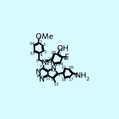 COc1ccc(CNc2ncnc3c(C)c(-c4ccc(N)cc4)n(-c4cc(F)c(O)cc4C)c23)cc1